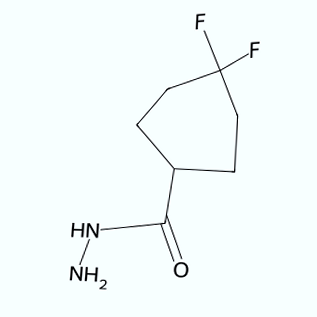 NNC(=O)C1CCC(F)(F)CC1